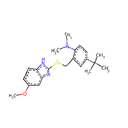 COc1ccc2[nH]c(SCc3cc(C(C)(C)C)ccc3N(C)C)nc2c1